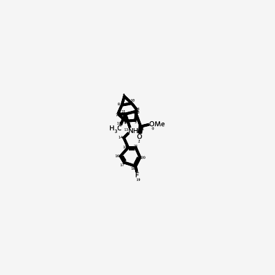 COC(=O)C1C2CCC(C3CC32)C1(C)NCc1ccc(F)cc1